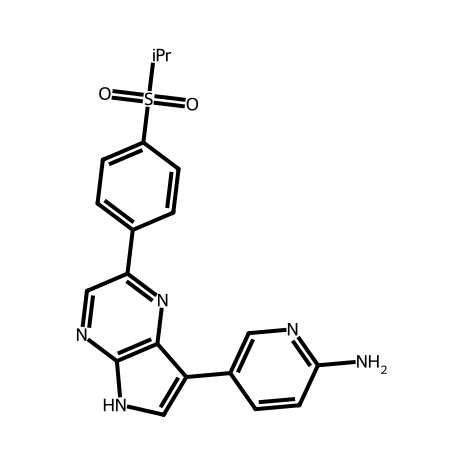 CC(C)S(=O)(=O)c1ccc(-c2cnc3[nH]cc(-c4ccc(N)nc4)c3n2)cc1